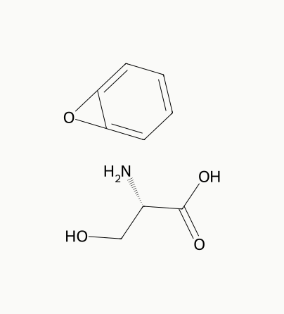 N[C@@H](CO)C(=O)O.c1ccc2c(c1)O2